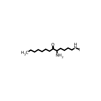 CCCCCCCC(=O)C(N)CCCCNI